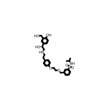 CC(C)NS(=O)(=O)c1cccc(COCCOc2ccc(CCNC[C@H](O)c3ccc(O)c(CO)c3)cc2)c1